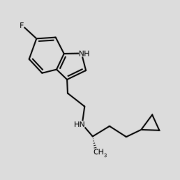 C[C@@H](CCC1CC1)NCCc1c[nH]c2cc(F)ccc12